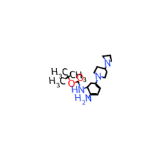 CC(C)(C)OC(=O)NC1CC(N2CCC(N3CCC3)CC2)=CC=C1N